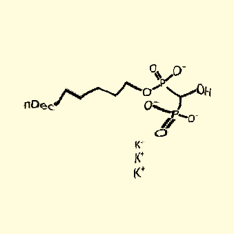 CCCCCCCCCCCCCCCOP(=O)([O-])C(O)P(=O)([O-])[O-].[K+].[K+].[K+]